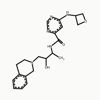 CC(NC(=O)c1cc(NC2COC2)ncn1)C(O)CN1CCc2ccccc2C1